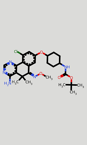 CO/N=C1\c2cc(OC3CCC(NC(=O)OC(C)(C)C)CC3)cc(Cl)c2-c2ncnc(N)c2C1(C)C